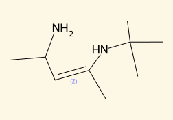 C/C(=C/C(C)N)NC(C)(C)C